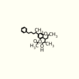 CC(=O)Oc1cc(C(C)CCCc2ccccc2)cc2c1C(C(C)CO)CC(C)O2